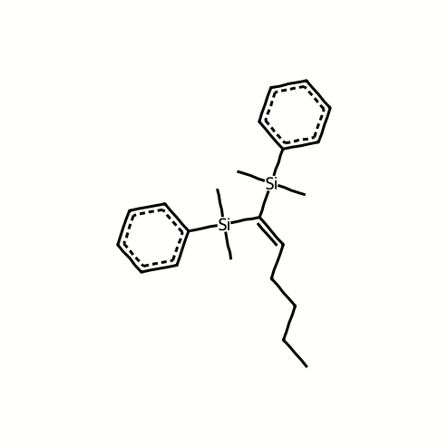 CCCCC=C([Si](C)(C)c1ccccc1)[Si](C)(C)c1ccccc1